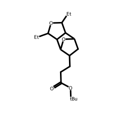 CCC1OC(CC)C2C3OC(CC3CCC(=O)OC(C)(C)C)C12